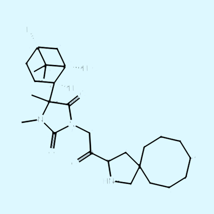 CN1C(=O)N(CC(=O)C2CC3(CCCCCCC3)CN2)C(=O)C1(C)[C@H]1CC[C@H]2C[C@@H]1C2(C)C